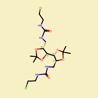 CC1(C)O[C@@H]([C@H]2OC(C)(C)O[C@@H]2CNC(=O)NCCCl)[C@H](CNC(=O)NCCCl)O1